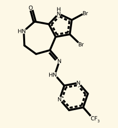 O=C1NCC/C(=N\Nc2ncc(C(F)(F)F)cn2)c2c1[nH]c(Br)c2Br